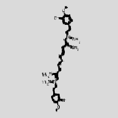 COc1ccc(CCN(N)/C=C(\N)CCCCCC/C(N)=C/N(N)CCc2ccc(OC)c(Br)c2)cc1Br